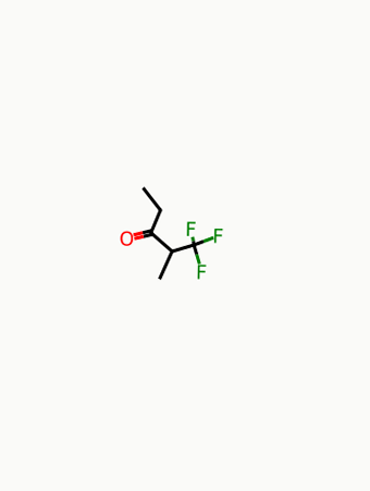 CCC(=O)C(C)C(F)(F)F